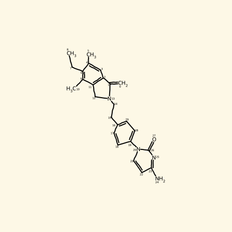 C=C1c2cc(C)c(CC)c(C)c2CN1CCc1ccc(-n2ccc(N)nc2=O)cc1